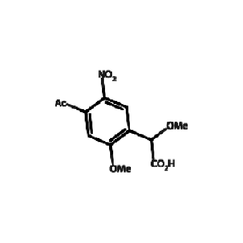 COc1cc(C(C)=O)c([N+](=O)[O-])cc1C(OC)C(=O)O